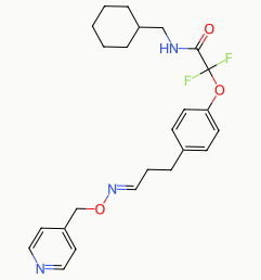 O=C(NCC1CCCCC1)C(F)(F)Oc1ccc(CCC=NOCc2ccncc2)cc1